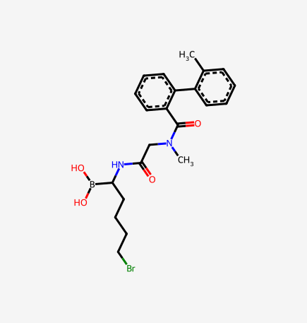 Cc1ccccc1-c1ccccc1C(=O)N(C)CC(=O)NC(CCCCBr)B(O)O